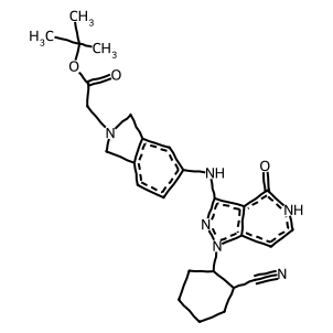 CC(C)(C)OC(=O)CN1Cc2ccc(Nc3nn(C4CCCCC4C#N)c4cc[nH]c(=O)c34)cc2C1